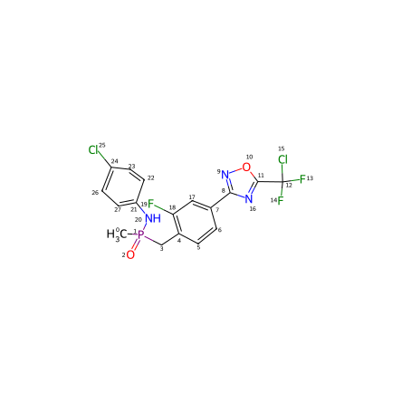 CP(=O)(Cc1ccc(-c2noc(C(F)(F)Cl)n2)cc1F)Nc1ccc(Cl)cc1